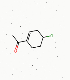 CC(=O)C1=CCC(Cl)CC1